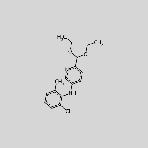 CCOC(OCC)c1ccc(Nc2c(C)cccc2Cl)cn1